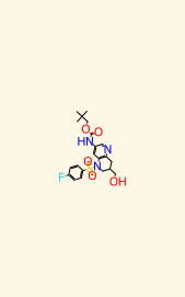 CC(C)(C)COC(=O)Nc1cnc2c(c1)N(S(=O)(=O)c1ccc(F)cc1)CC(CO)C2